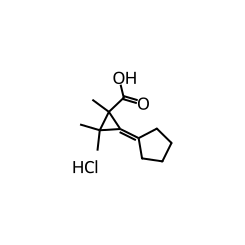 CC1(C)C(=C2CCCC2)C1(C)C(=O)O.Cl